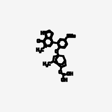 CSc1ccc(OC23CC4CC(OP(O)O)C(C4)(C2)C(C)C3)c(-c2cn(C)c(=O)c3[nH]ccc23)c1